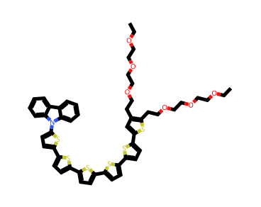 CCOCCOCCOCCc1cc(-c2ccc(-c3ccc(-c4ccc(-c5ccc(-c6ccc(-n7c8ccccc8c8ccccc87)s6)s5)s4)s3)s2)sc1CCOCCOCCOCC